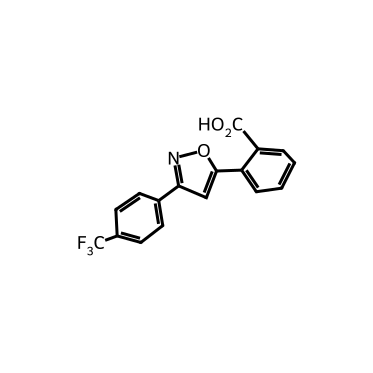 O=C(O)c1ccccc1-c1cc(-c2ccc(C(F)(F)F)cc2)no1